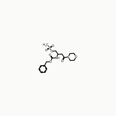 CS(=O)(=O)OCC(CC(=O)N1CCOCC1)NC(=O)OCc1ccccc1